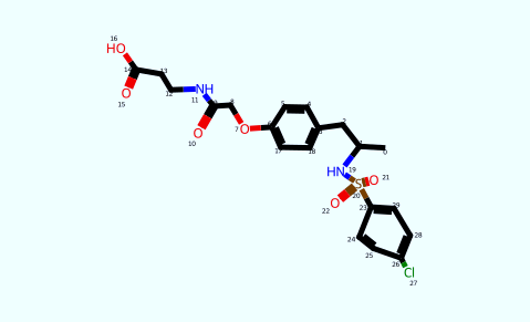 CC(Cc1ccc(OCC(=O)NCCC(=O)O)cc1)NS(=O)(=O)c1ccc(Cl)cc1